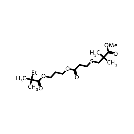 CCC(C)(C)C(=O)OCCCOC(=O)CCSCC(C)(C)C(=O)OC